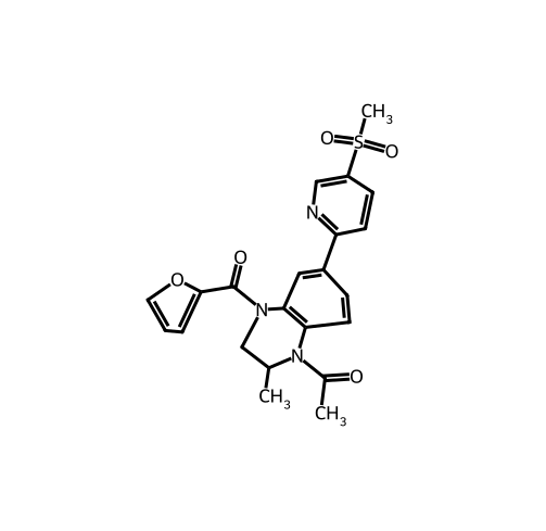 CC(=O)N1c2ccc(-c3ccc(S(C)(=O)=O)cn3)cc2N(C(=O)c2ccco2)CC1C